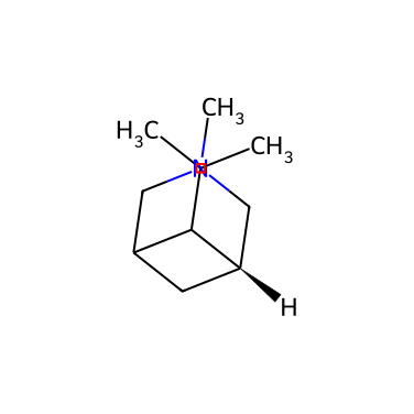 CC(C)C1C2C[C@H]1CN(C)C2